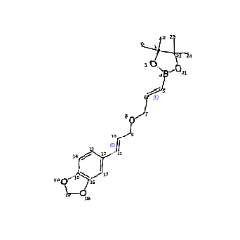 CC1(C)OB(/C=C/COC/C=C/c2ccc3c(c2)OCO3)OC1(C)C